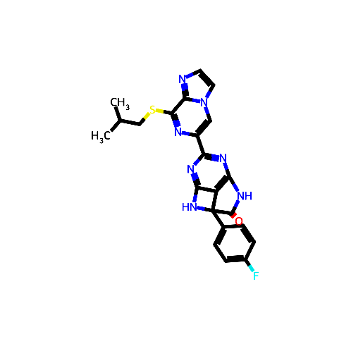 CC(C)CSc1nc(-c2nc3c4c(n2)NC4(c2ccc(F)cc2)C(=O)N3)cn2ccnc12